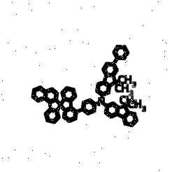 CC1(C)c2ccccc2-c2ccc(N(c3ccc(-c4cccc5c4-c4ccccc4C54c5ccccc5-c5c4ccc4ccccc54)cc3)c3ccc4c(c3)C(C)(C)c3cc(-c5ccccc5)ccc3-4)cc21